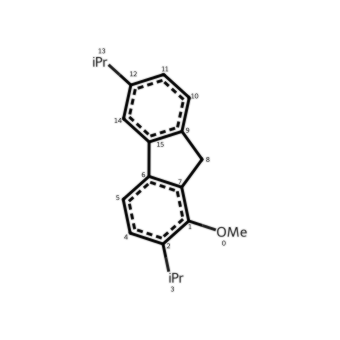 COc1c(C(C)C)ccc2c1Cc1ccc(C(C)C)cc1-2